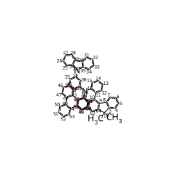 CC1(C)c2ccccc2-c2c(-c3ccccc3N(c3cccc(-n4c5ccccc5c5ccccc54)c3)c3ccccc3-c3ccccc3-c3ccccc3-c3ccccc3)cccc21